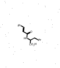 CC(C)C=CC(=O)NC(CC(C)C)C(=O)O